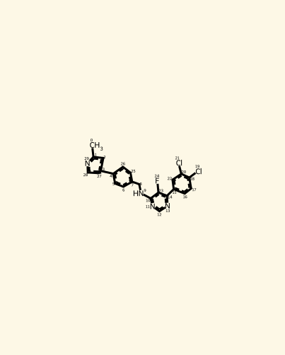 Cc1cc(-c2ccc(CNc3ncnc(-c4ccc(Cl)c(Cl)c4)c3F)cc2)ccn1